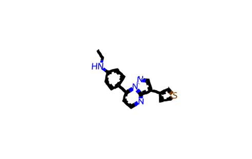 CCNc1ccc(-c2ccnc3c(-c4[c]scc4)cnn23)cc1